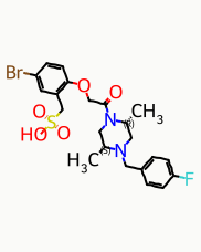 C[C@@H]1CN(Cc2ccc(F)cc2)[C@@H](C)CN1C(=O)COc1ccc(Br)cc1CS(=O)(=O)O